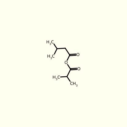 CC(C)CC(=O)OC(=O)C(C)C